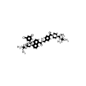 CC(C)(C)OC(=O)CN(c1cccc2c(C(=O)NCc3ccc(C(=O)N4CCN(C(=O)OC(C)(C)C)CC4)cc3)cccc12)S(=O)(=O)c1cc(Cl)cc(Cl)c1